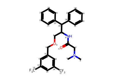 CN(C)CC(=O)NC(COCc1cc(C(F)(F)F)cc(C(F)(F)F)c1)C(c1ccccc1)c1ccccc1